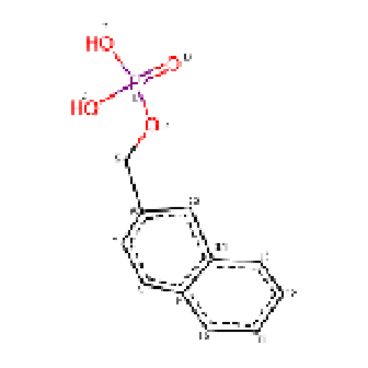 O=P(O)(O)OCc1ccc2ccccc2c1